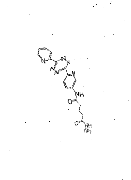 CCCNC(=O)CCCC(=O)Nc1ccc(-c2nnc(-c3ccccn3)nn2)nc1